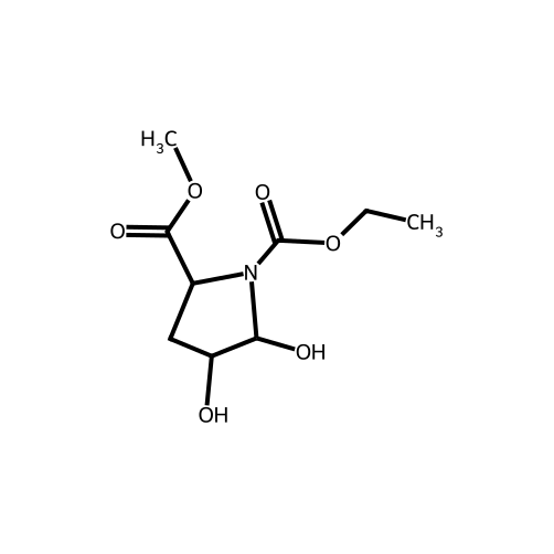 CCOC(=O)N1C(C(=O)OC)CC(O)C1O